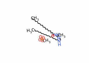 CCCCCCCCCCCCCCCCCC(=O)NCC(C)[N+]1=C(CCCCCCCCCCCCCCCCC)NCC1.COS(=O)(=O)[O-]